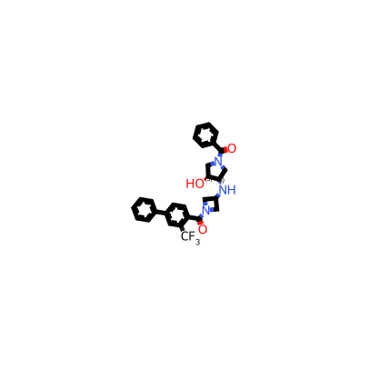 O=C(c1ccccc1)N1C[C@H](NC2CN(C(=O)c3ccc(-c4ccccc4)cc3C(F)(F)F)C2)[C@@H](O)C1